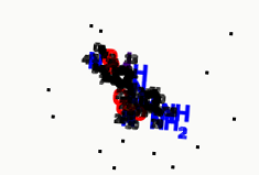 CC(=O)N(C)Cc1cc2cc(C(Nc3ccc(C(=N)N)cc3)C(=O)NS(=O)(=O)N(C)C)cc(I)c2o1